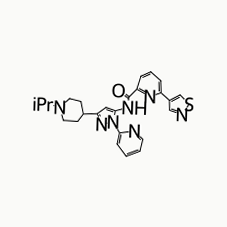 CC(C)N1CCC(c2cc(NC(=O)c3cccc(-c4cnsc4)n3)n(-c3ccccn3)n2)CC1